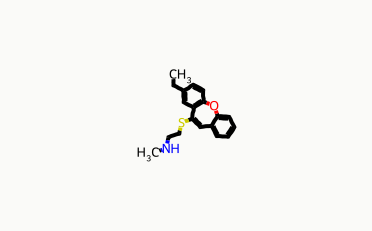 CCc1ccc2c(c1)C(SCCNC)=Cc1ccccc1O2